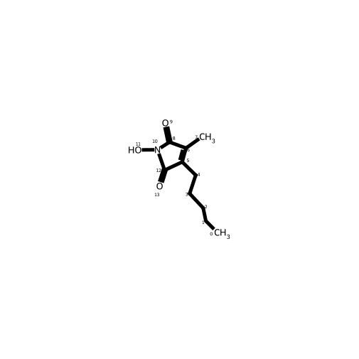 CCCCCC1=C(C)C(=O)N(O)C1=O